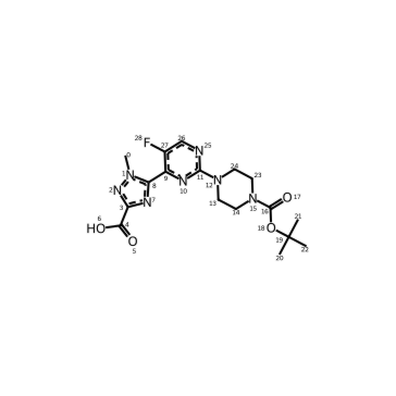 Cn1nc(C(=O)O)nc1-c1nc(N2CCN(C(=O)OC(C)(C)C)CC2)ncc1F